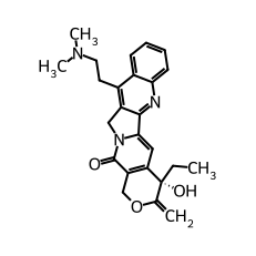 C=C1OCc2c(cc3n(c2=O)Cc2c-3nc3ccccc3c2CCN(C)C)[C@@]1(O)CC